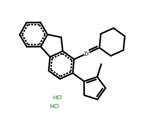 CC1=C(c2ccc3c([c]2[Zr]=[C]2CCCCC2)Cc2ccccc2-3)CC=C1.Cl.Cl